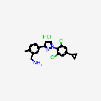 Cc1ccc(-c2ccn(-c3c(Cl)cc(C4CC4)cc3Cl)n2)cc1CN.Cl